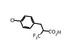 O=C(O)C(Cc1ccc(Cl)cc1)C(F)(F)F